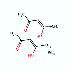 CC(=O)/C=C(/C)O.CC(=O)/C=C(/C)O.[BiH3]